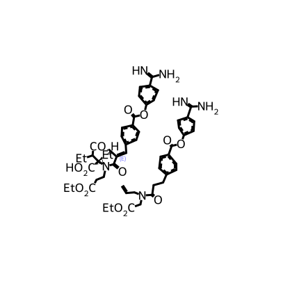 C=CCN(CC(=O)OCC)C(=O)CCc1ccc(C(=O)Oc2ccc(C(=N)N)cc2)cc1.CCOC(=O)CCN(C(=O)/C(C)=C/c1ccc(C(=O)Oc2ccc(C(=N)N)cc2)cc1)[C@](CC)(C(=O)O)C(CC)C(=O)O